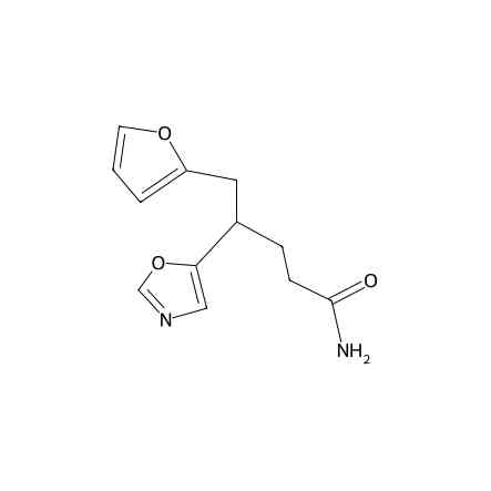 NC(=O)CCC(Cc1ccco1)c1cnco1